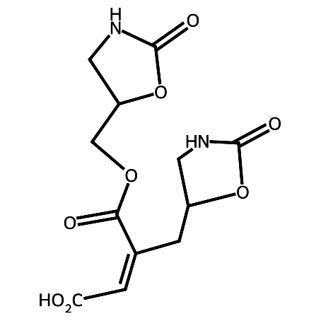 O=C(O)C=C(CC1CNC(=O)O1)C(=O)OCC1CNC(=O)O1